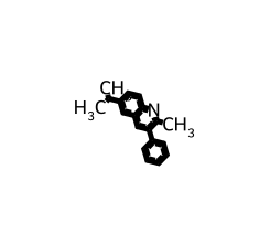 Cc1nc2ccc(C(C)C)cc2cc1-c1ccccc1